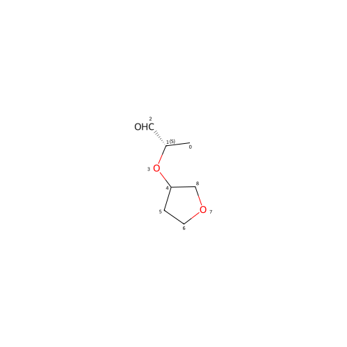 C[C@@H](C=O)OC1CCOC1